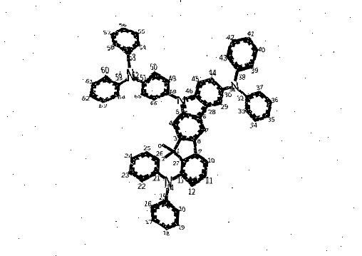 CC1(C)c2cc3c(cc2-c2cccc(N(c4ccccc4)c4ccccc4)c21)c1cc(N(c2ccccc2)c2ccccc2)ccc1n3-c1ccc(N(c2ccccc2)c2ccccc2)cc1